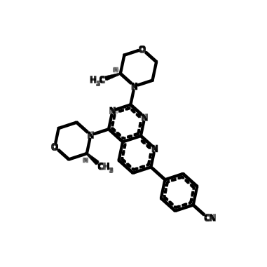 C[C@H]1COCCN1c1nc(N2CCOC[C@@H]2C)c2ccc(-c3ccc(C#N)cc3)nc2n1